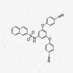 N#Cc1ccc(Oc2cc(NS(=O)(=O)c3ccc4ccccc4c3)cc(Oc3ccc(C#N)cc3)c2)cc1